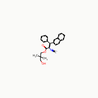 [C-]#[N+]C(C(=O)OCC(C)(C)CO)=C(c1ccccc1)c1ccc2ccccc2c1